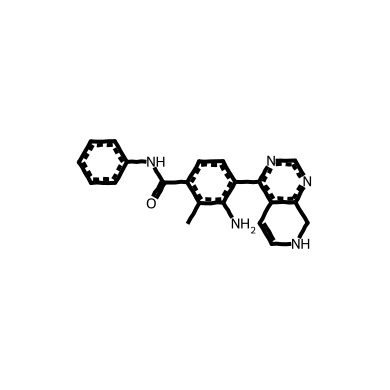 Cc1c(C(=O)Nc2ccccc2)ccc(-c2ncnc3c2C=CNC3)c1N